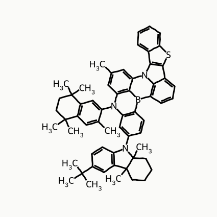 Cc1cc2c3c(c1)-n1c4c(cccc4c4sc5ccccc5c41)B3c1ccc(N3c4ccc(C(C)(C)C)cc4C4(C)CCCCC34C)cc1N2c1cc2c(cc1C)C(C)(C)CCC2(C)C